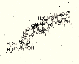 CCC(C)C[C@@H]1C[C@H](O)[C@]2(C)OC3CC4OC5C[C@]6(C)O[C@]7(C)CCC8OC9C[C@]%10(C)OC%11C(C)CC(=O)O[C@H]%11C[C@H]%10O[C@H]9C[C@@H](C)[C@H]8O[C@H]7C[C@H]6O[C@@]5(C)CCC[C@H]4O[C@H]3C[C@H]2O1